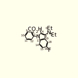 CCN(CC)c1c(C(=O)O)n(-c2ccccc2)c2ccc(F)cc12